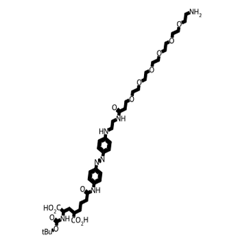 CC(C)(C)OC(=O)NC(CC(CCCC(=O)Nc1ccc(/N=N/c2ccc(NCCNC(=O)CCOCCOCCOCCOCCOCCOCCN)cc2)cc1)C(=O)O)C(=O)O